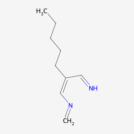 C=N/C=C(\C=N)CCCCC